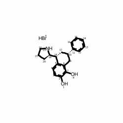 Br.Oc1ccc2c(c1O)C[C@@H](c1ccccc1)C[C@H]2[C@H]1CCCN1